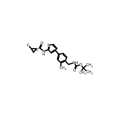 Cc1cc(-c2ccnc(NC(=O)[C@@H]3CC3F)c2)ccc1CNC(=O)OC(C)(C)C